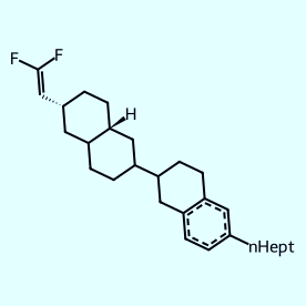 CCCCCCCc1ccc2c(c1)CCC(C1CCC3C[C@H](C=C(F)F)CC[C@@H]3C1)C2